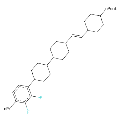 CCCCCC1CCC(/C=C/C2CCC(C3CCC(c4ccc(CCC)c(F)c4F)CC3)CC2)CC1